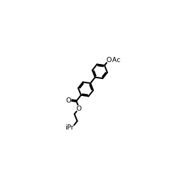 CC(=O)Oc1ccc(-c2ccc(C(=O)OCCC(C)C)cc2)cc1